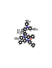 CC(C)(C)c1ccc(N2B3c4cc(-c5ccccc5)ccc4N(c4ccc(-c5ccccc5)cc4)c4c3c(cc3c4oc4ccccc43)-c3cc4c(cc32)C(C)(C)c2ccc(N(c3ccc(C(C)(C)C)cc3)c3ccc(C(C)(C)C)cc3)cc2-4)cc1